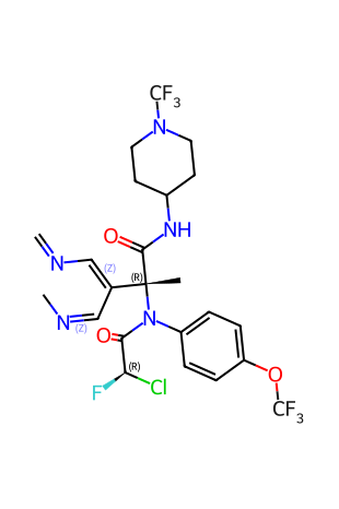 C=N/C=C(\C=N/C)[C@](C)(C(=O)NC1CCN(C(F)(F)F)CC1)N(C(=O)[C@H](F)Cl)c1ccc(OC(F)(F)F)cc1